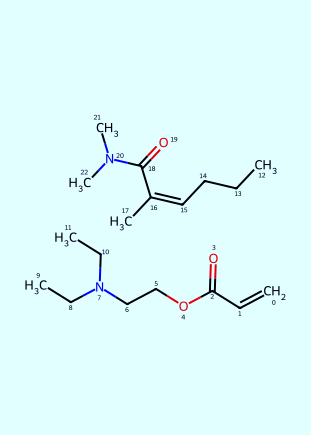 C=CC(=O)OCCN(CC)CC.CCCC=C(C)C(=O)N(C)C